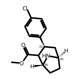 COC(=O)C1[C@@H](c2ccc(Cl)cc2)C[C@H]2CC[C@H]1N2